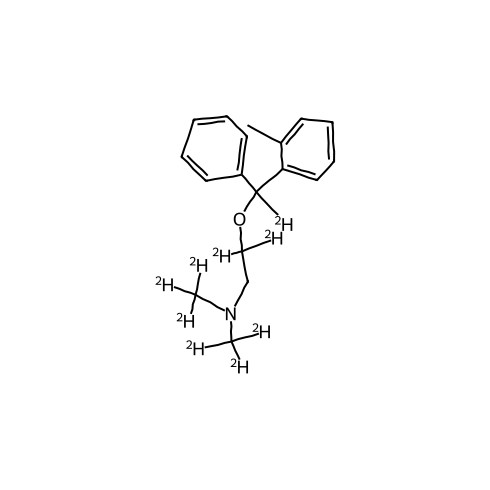 [2H]C([2H])(CN(C([2H])([2H])[2H])C([2H])([2H])[2H])OC([2H])(c1ccccc1)c1ccccc1C